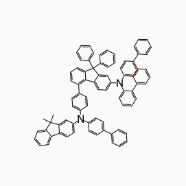 CC1(C)c2ccccc2-c2ccc(N(c3ccc(-c4ccccc4)cc3)c3ccc(-c4cccc5c4-c4ccc(N(c6ccc(-c7ccccc7)cc6)c6ccccc6-c6ccccc6)cc4C5(c4ccccc4)c4ccccc4)cc3)cc21